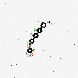 CCOc1c(F)cc(OC(F)(F)C2CCC(c3ccc(-c4ccc(C5CCC(C)CC5)cc4F)cc3F)CC2)cc1F